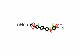 CCCCCCCC1COC(c2ccc(C3CCC(C4CCC(C(F)(F)Oc5ccc(OC(F)(F)F)c(F)c5)CC4)CC3)c(F)c2)OC1